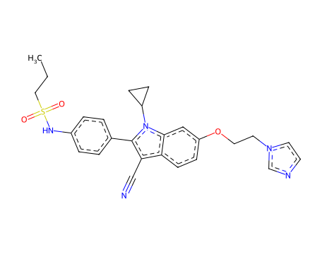 CCCS(=O)(=O)Nc1ccc(-c2c(C#N)c3ccc(OCCn4ccnc4)cc3n2C2CC2)cc1